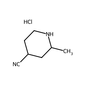 CC1CC(C#N)CCN1.Cl